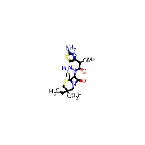 C=CC1(C(=O)O)CS[C@@H]2C(N(N)C(=O)C(OC)c3csc(N)n3)C(=O)N2C1